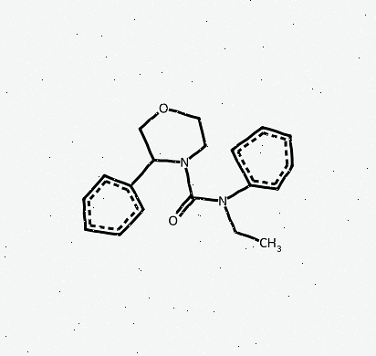 CCN(C(=O)N1CCOCC1c1ccccc1)c1ccccc1